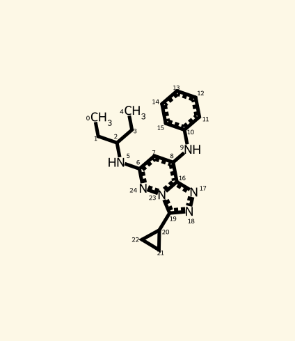 CCC(CC)Nc1cc(Nc2ccccc2)c2nnc(C3CC3)n2n1